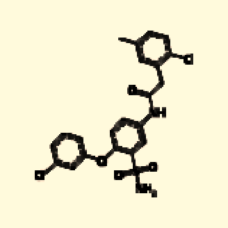 Cc1ccc(Cl)c(CC(=O)Nc2ccc(Oc3cccc(Cl)c3)c(S(N)(=O)=O)c2)c1